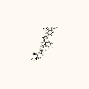 CC(C)Oc1ccc(-c2nc(-c3ccc(CN4CC(C(=N)NN)C4)c4ccccc34)no2)cc1C(F)(F)F